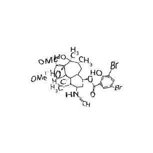 C#CNC1C[C@H](OC(=O)c2cc(Br)cc(Br)c2O)C2C[C@@H](C)[C@](C)(O)[C@]3(O)C(C[C@H](COC)[C@@H]3OC)[C@]2(C)C1C